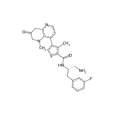 Cc1c(-c2ccnc3c2N(C)CC(=O)C3)csc1C(=O)N[C@H](CN)Cc1cccc(F)c1